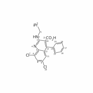 CC(C)CNc1nc2c(Cl)cc(Cl)cc2c(-c2ccccc2)c1C(=O)O